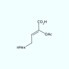 CCCCCCC/C=C(\OC(C)=O)C(=O)O